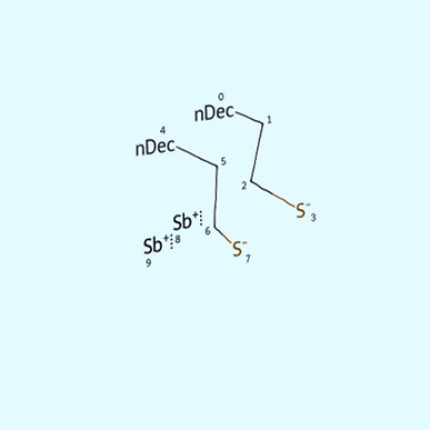 CCCCCCCCCCCC[S-].CCCCCCCCCCCC[S-].[Sb+].[Sb+]